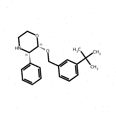 CC(C)(C)c1cccc(CO[C@H]2OCCN[C@H]2c2ccccc2)c1